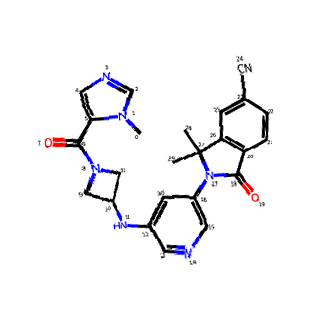 Cn1cncc1C(=O)N1CC(Nc2cncc(N3C(=O)c4ccc(C#N)cc4C3(C)C)c2)C1